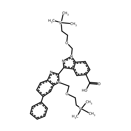 C[Si](C)(C)CCOCn1nc(-c2nc3ccc(-c4ccccc4)cc3n2COCC[Si](C)(C)C)c2cc(C(=O)O)ccc21